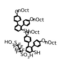 CCCCCCCCOc1ccc(-c2cccc(S)c2-c2ccc(OCCCCCCCC)cc2)cc1.CCCCCCCCOc1ccc(-c2cccc(S)c2-c2ccc(OCCCCCCCC)cc2)cc1.O=S(=O)(O)C(F)(F)C(F)(F)C(F)(F)S(=O)(=O)O